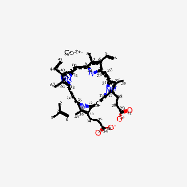 C=C(C)C.C=CC1=C(C)c2cc3[nH]c(cc4nc(cc5[nH]c(cc1n2)c(C)c5CCC(=O)[O-])C(CCC(=O)[O-])=C4C)c(C)c3C=C.[Co+2]